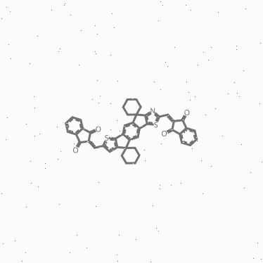 O=C1C(=Cc2cc3c(s2)-c2cc4c(cc2C32CCCCC2)-c2sc(C=C3C(=O)c5ccccc5C3=O)nc2C42CCCCC2)C(=O)c2ccccc21